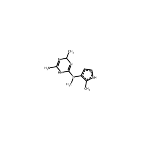 Cc1[nH]ccc1N(C)C1=NC(C)N=C(N)N1